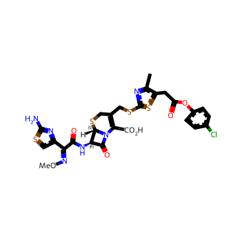 CON=C(C(=O)N[C@@H]1C(=O)N2C(C(=O)O)=C(CSc3nc(C)c(CC(=O)Oc4ccc(Cl)cc4)s3)CS[C@@H]12)c1csc(N)n1